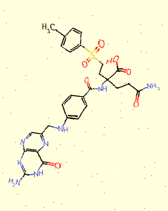 Cc1ccc(S(=O)(=O)CCC(CCC(N)=O)(NC(=O)c2ccc(NCc3cnc4nc(N)[nH]c(=O)c4n3)cc2)C(=O)O)cc1